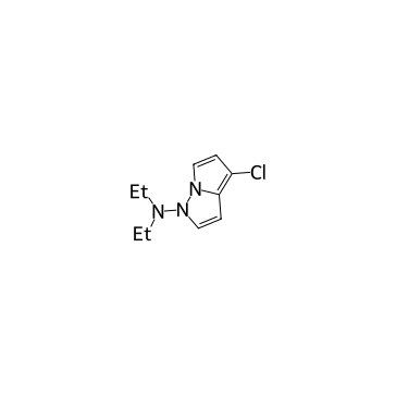 CCN(CC)n1ccc2c(Cl)ccn21